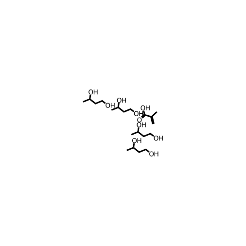 C=C(C)C(=O)O.CC(O)CCO.CC(O)CCO.CC(O)CCO.CC(O)CCO